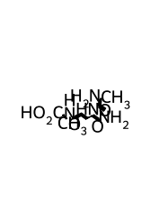 C[C@@H](N)C(=O)N[C@H](CCC(=O)N[C@H](C)C(=O)O)C(N)=O